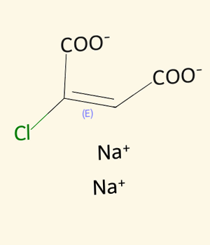 O=C([O-])/C=C(/Cl)C(=O)[O-].[Na+].[Na+]